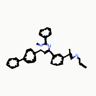 C=C/C=N\C=C(/C)c1cccc(C(=C/Cc2c#cc(-c3ccccc3)cc2)/N=C(\N=C)c2ccccc2)c1